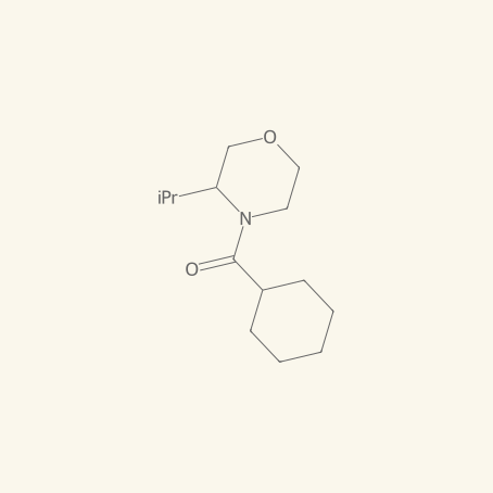 CC(C)C1COCCN1C(=O)C1CCCCC1